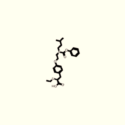 CCOC(Cc1ccc(OCCN(CCC(C)C)C(=O)Oc2ccccc2)cc1)C(=O)O